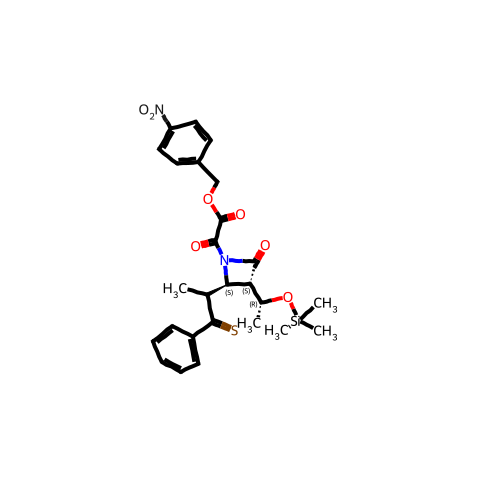 CC(C(=S)c1ccccc1)[C@@H]1[C@@H]([C@@H](C)O[Si](C)(C)C)C(=O)N1C(=O)C(=O)OCc1ccc([N+](=O)[O-])cc1